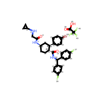 O=C(CNC1CC1)N[C@@H]1CC[C@@H](C(=O)NC(c2ccc(F)cc2)c2ccc(F)cc2)[C@H](c2ccc(Br)cc2)C1.O=C(O)C(F)(F)F